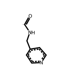 O=[C]NCc1ccncc1